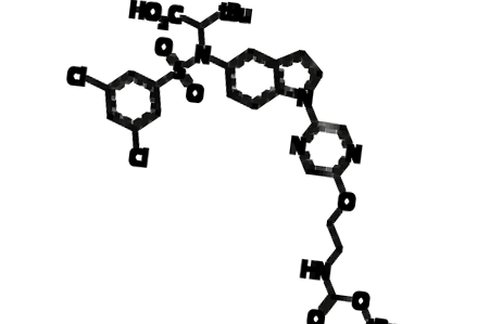 CC(C)(C)OC(=O)NCCOc1cnc(-n2ccc3cc(N(C(C(=O)O)C(C)(C)C)S(=O)(=O)c4cc(Cl)cc(Cl)c4)ccc32)cn1